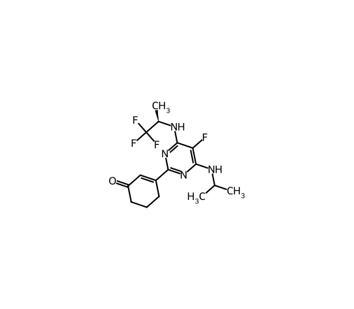 CC(C)Nc1nc(C2=CC(=O)CCC2)nc(N[C@H](C)C(F)(F)F)c1F